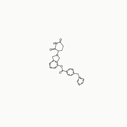 O=C1CCC(N2Cc3cccc(OC(=O)c4ccc(Cn5cccc5)cc4)c3C2)C(=O)N1